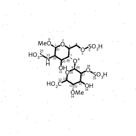 CO[C@H]1OC(COS(=O)(=O)O)[C@H](O[C@@H]2OC(C(=O)O)[C@@H](OC)C(O)C2OS(=O)(=O)O)C(O)C1NS(=O)(=O)O